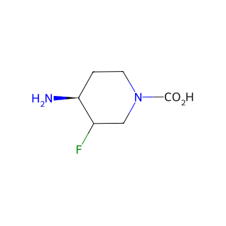 N[C@H]1CCN(C(=O)O)CC1F